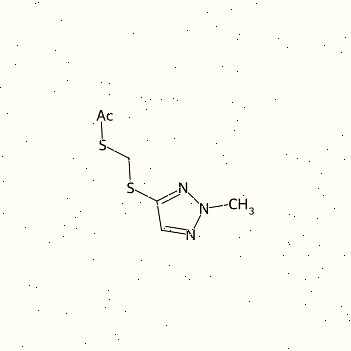 CC(=O)SCSc1cnn(C)n1